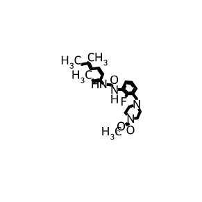 C\C=C(/C=C\C=C(/C)CC)NC(=O)Nc1cccc(CN2CCN(C(=O)OC)CC2)c1F